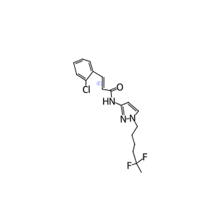 CC(F)(F)CCCCn1ccc(NC(=O)/C=C/c2ccccc2Cl)n1